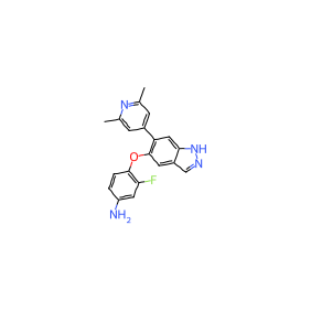 Cc1cc(-c2cc3[nH]ncc3cc2Oc2ccc(N)cc2F)cc(C)n1